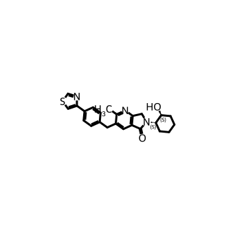 Cc1nc2c(cc1Cc1ccc(-c3cscn3)cc1)C(=O)N([C@H]1CCCC[C@@H]1O)C2